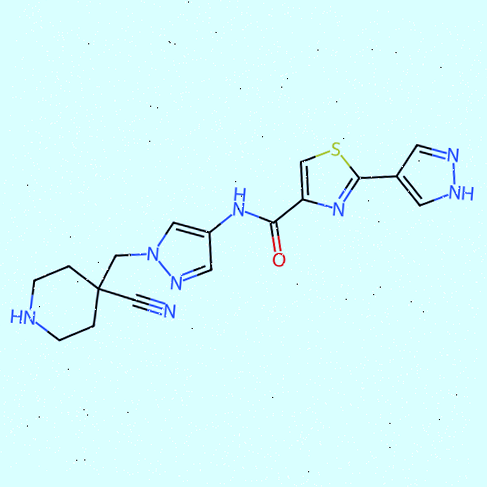 N#CC1(Cn2cc(NC(=O)c3csc(-c4cn[nH]c4)n3)cn2)CCNCC1